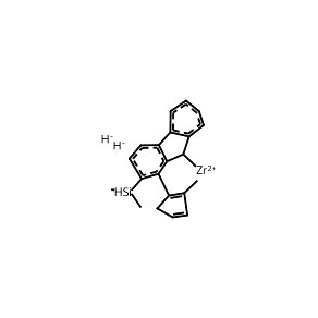 CC1=C(c2c([SiH](C)C)ccc3c2[CH]([Zr+2])c2ccccc2-3)CC=C1.[H-].[H-]